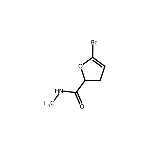 CNC(=O)C1CC=C(Br)O1